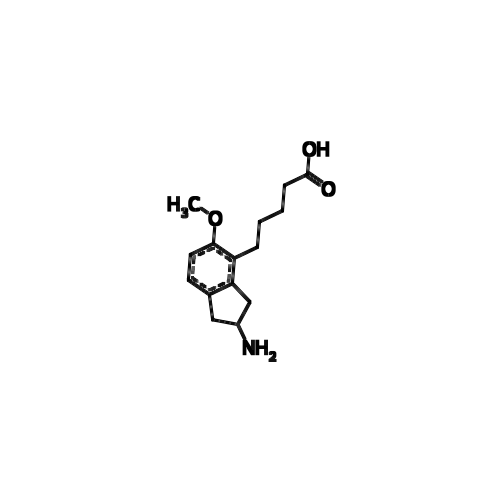 COc1ccc2c(c1CCCCC(=O)O)CC(N)C2